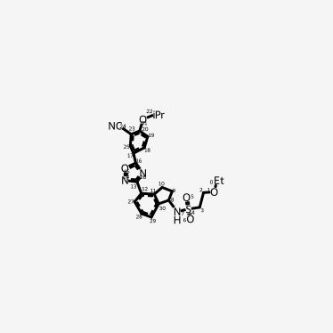 CCOCCS(=O)(=O)NC1CCc2c(-c3noc(-c4ccc(OC(C)C)c(C#N)c4)n3)cccc21